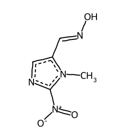 Cn1c(C=NO)cnc1[N+](=O)[O-]